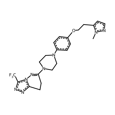 Cn1nccc1CCOc1ccc(N2CCN(C3=Nn4c(nnc4C(F)(F)F)CC3)CC2)cc1